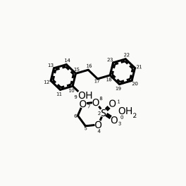 O.O=S1(=O)OCCOO1.Oc1ccccc1CCc1ccccc1